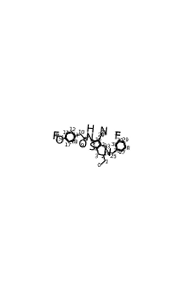 CCC1Cc2sc(NC(=O)Cc3ccc(OF)cc3)c(C#N)c2CN1Cc1cccc(F)c1